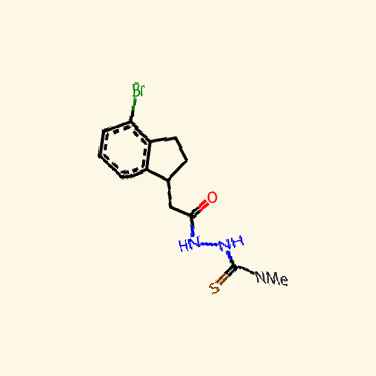 CNC(=S)NNC(=O)CC1CCc2c(Br)cccc21